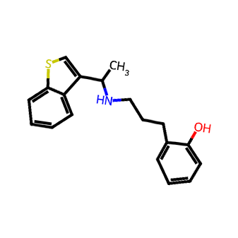 CC(NCCCc1ccccc1O)c1csc2ccccc12